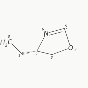 CC[C@H]1CO[C]=N1